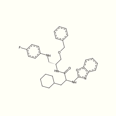 O=C(N[C@H](CNc1ccc(F)cc1)COCc1ccccc1)C(CC1CCCCC1)Nc1nc2ccccc2o1